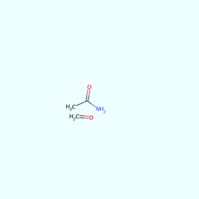 C=O.CC(N)=O